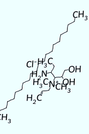 C=CC[N+](C)(C)C(C(N)CC)C(O)CO.CCCCCCCCCCCCCCCCCCCCCC.[Cl-]